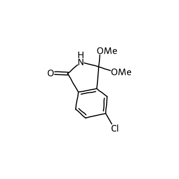 COC1(OC)NC(=O)c2ccc(Cl)cc21